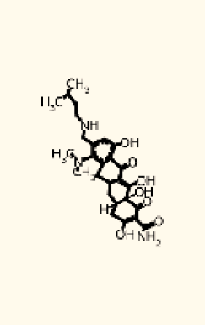 CC(C)CCNCc1cc(O)c2c(c1N(C)C)CC1C[C@H]3CC(O)=C(C(N)=O)C(=O)[C@@]3(O)C(O)=C1C2=O